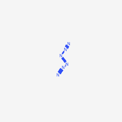 N#[N+]N=N[N+]#N